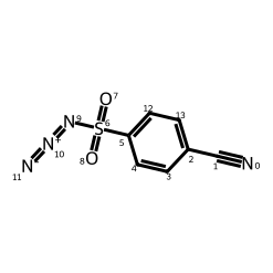 N#Cc1ccc(S(=O)(=O)N=[N+]=[N-])cc1